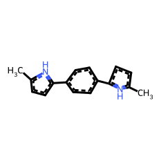 Cc1ccc(-c2ccc(-c3ccc(C)[nH]3)cc2)[nH]1